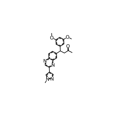 COc1cc(OC)cc(C(CC(C)=O)c2ccc3ncc(-c4cnn(C)c4)nc3c2)c1